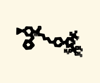 CC(C)(C)c1nc(N2CCN(CCCCNC(=O)N3CCN(C4CC4)CC3Cc3ccccc3)CC2)cc(C(F)(F)F)n1